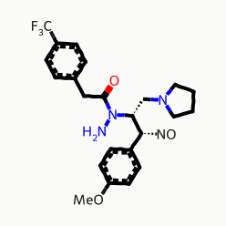 COc1ccc([C@@H](N=O)[C@@H](CN2CCCC2)N(N)C(=O)Cc2ccc(C(F)(F)F)cc2)cc1